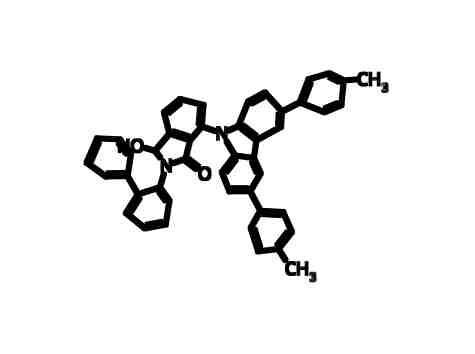 Cc1ccc(-c2ccc3c(c2)c2cc(-c4ccc(C)cc4)ccc2n3-c2cccc3c2C(=O)N(c2ccccc2-c2ccccc2)C3O)cc1